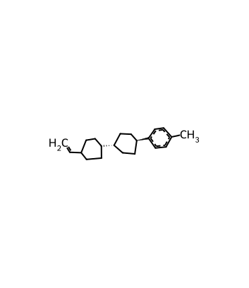 C=CC1CCC([C@H]2CC[C@H](c3ccc(C)cc3)CC2)CC1